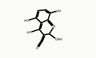 COC1N=c2c(O)ccc(O)c2=C(O)C1=C=O